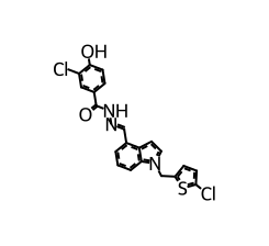 O=C(N/N=C/c1cccc2c1ccn2Cc1ccc(Cl)s1)c1ccc(O)c(Cl)c1